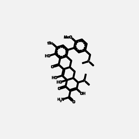 COc1ccc(CN(C)C)cc1-c1cc(C(C)(C)C)c(O)c2c1CC1CC3C(N(C)C)C(O)=C(C(N)=O)C(=O)C3(O)C(O)=C1C2=O